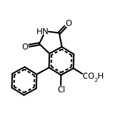 O=C(O)c1cc2c(c(-c3ccccc3)c1Cl)C(=O)NC2=O